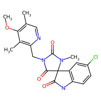 COc1c(C)cnc(CN2C(=O)N(C)C3(C(=O)[N]c4ccc(Cl)cc43)C2=O)c1C